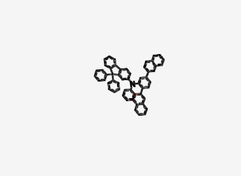 c1ccc(N(c2ccc3c(c2)C(c2ccccc2)(c2ccccc2)c2ccccc2-3)c2cc(-c3ccc4ccccc4c3)ccc2-c2ccc3ccccc3c2)cc1